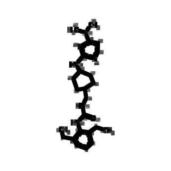 CCc1cccc(CC)c1NC(=O)NCC1CCC(Nc2nccc(N(C)C)n2)CC1